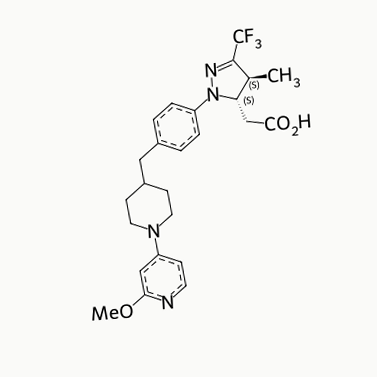 COc1cc(N2CCC(Cc3ccc(N4N=C(C(F)(F)F)[C@@H](C)[C@@H]4CC(=O)O)cc3)CC2)ccn1